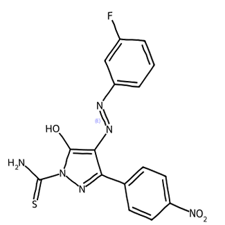 NC(=S)n1nc(-c2ccc([N+](=O)[O-])cc2)c(/N=N/c2cccc(F)c2)c1O